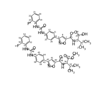 CC(C)C(NC(=O)c1cc(-c2ccc(NC(=O)Nc3ccccc3F)cc2)no1)C(=O)O.COC(=O)C(NC(=O)c1cc(-c2ccc(NC(=O)Nc3ccccc3F)cc2)no1)C(C)C